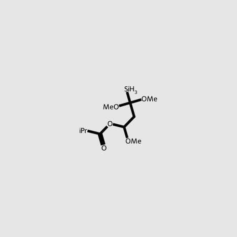 COC(CC([SiH3])(OC)OC)OC(=O)C(C)C